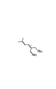 CC(C)=C/C=C(\C=N)CC(C)(C)C